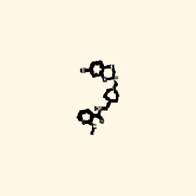 COc1ncccc1C(=O)NCC1CCN(C[C@H]2COc3ccc(Cl)cc3O2)CC1